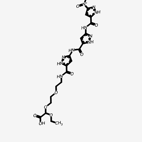 CCOC(OCCOCCNC(=O)c1cc(NC(=O)c2cc(NC(=O)c3cc([N+](=O)[O-])n[nH]3)n[nH]2)n[nH]1)C(=O)O